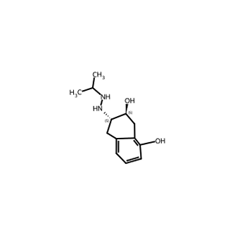 CC(C)NN[C@H]1Cc2cccc(O)c2C[C@@H]1O